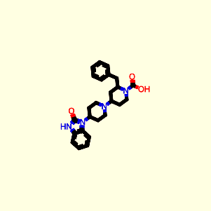 O=C(O)N1CCC(N2CCC(n3c(=O)[nH]c4ccccc43)CC2)CC1Cc1ccccc1